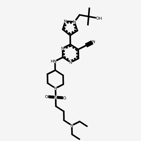 CCN(CC)CCCS(=O)(=O)N1CCC(Nc2ncc(C#N)c(-c3cnn(CC(C)(C)O)c3)n2)CC1